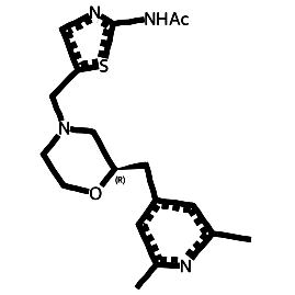 CC(=O)Nc1ncc(CN2CCO[C@H](Cc3cc(C)nc(C)c3)C2)s1